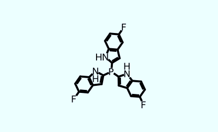 Fc1ccc2[nH]c(P(c3cc4cc(F)ccc4[nH]3)c3cc4cc(F)ccc4[nH]3)cc2c1